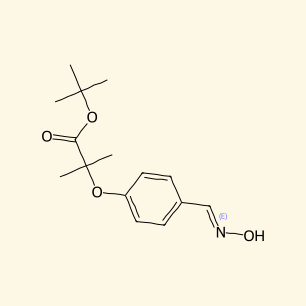 CC(C)(C)OC(=O)C(C)(C)Oc1ccc(/C=N/O)cc1